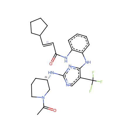 CC(=O)N1CCC[C@H](Nc2ncc(C(F)(F)F)c(Nc3ccccc3NC(=O)/C=C/C3CCCC3)n2)C1